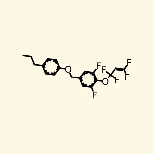 CCCc1ccc(OCc2cc(F)c(OC(F)(F)C=C(F)F)c(F)c2)cc1